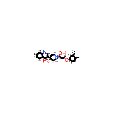 Cc1ccc(OCCC(O)N2CCC(O)(c3cnc4ccccc4c3)CC2)cc1C